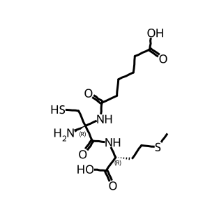 CSCC[C@@H](NC(=O)[C@](N)(CS)NC(=O)CCCCC(=O)O)C(=O)O